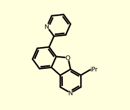 CC(C)c1cncc2c1oc1c(-c3ccccn3)cccc12